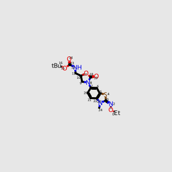 CCON=c1sc2cc(N3CC(CNC(=O)OC(C)(C)C)OC3=O)ccc2n1C